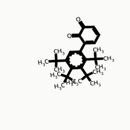 CC(C)(C)c1cc(C2=CC=CC(=O)C2=O)c(C(C)(C)C)c(C(C)(C)C)c1C(C)(C)C